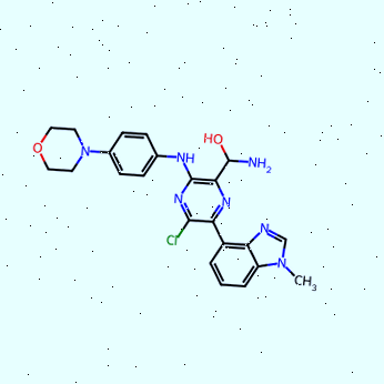 Cn1cnc2c(-c3nc(C(N)O)c(Nc4ccc(N5CCOCC5)cc4)nc3Cl)cccc21